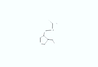 CC(C)[C@@H](N)NNC1COCC1CO